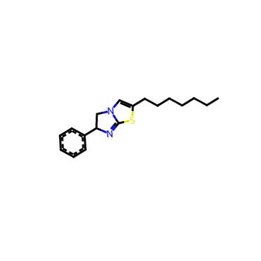 CCCCCCCC1=CN2CC(c3ccccc3)N=C2S1